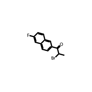 CC(Br)C(=O)c1ccc2cc(F)ccc2c1